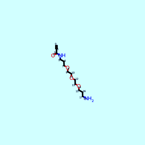 C#CC(=O)NCCCOCCOCCOCCCN